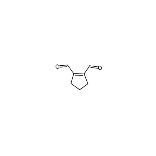 O=[C]C1=C([C]=O)CCC1